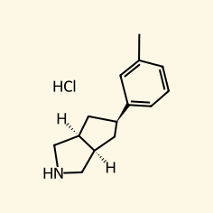 Cc1cccc([C@H]2C[C@H]3CNC[C@H]3C2)c1.Cl